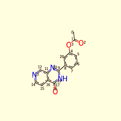 CC(=O)Oc1cccc(-c2nc3cnccc3c(=O)[nH]2)c1